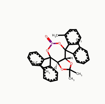 Cc1ccccc1C1(c2ccccc2C)O[P](=O)OC(c2ccccc2C)(c2ccccc2C)[C@@H]2OC(C)(C)O[C@H]21